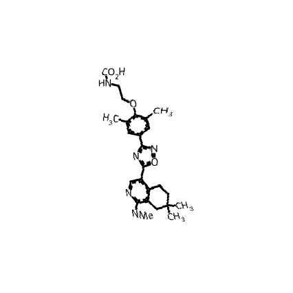 CNc1ncc(-c2nc(-c3cc(C)c(OCCNC(=O)O)c(C)c3)no2)c2c1CC(C)(C)CC2